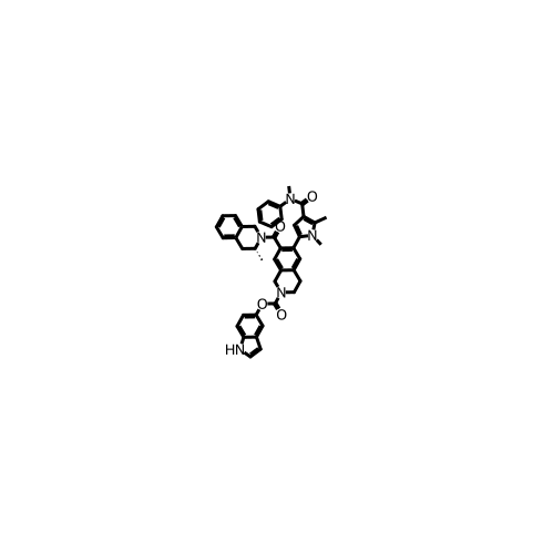 Cc1c(C(=O)N(C)c2ccccc2)cc(-c2cc3c(cc2C(=O)N2Cc4ccccc4C[C@H]2C)CN(C(=O)Oc2ccc4[nH]ccc4c2)CC3)n1C